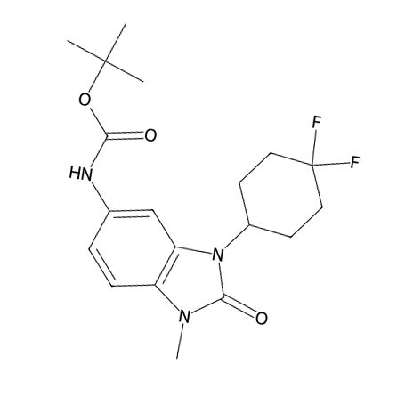 Cn1c(=O)n(C2CCC(F)(F)CC2)c2cc(NC(=O)OC(C)(C)C)ccc21